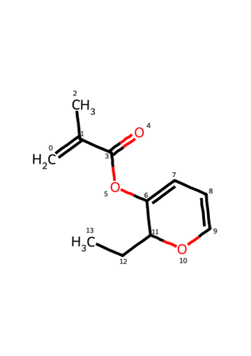 C=C(C)C(=O)OC1=CC=COC1CC